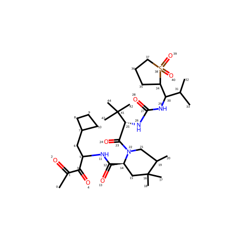 CC(=O)C(=O)C(CC1CCC1)NC(=O)[C@@H]1CC(C)(C)C(C)CN1C(=O)[C@@H](NC(=O)NC(C(C)C)C1CCCS1(=O)=O)C(C)(C)C